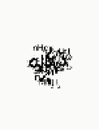 CCCCCC[C@@H](OC[C@@H](CC)NC(=O)[C@@H](C)[C@H](C)O)[C@@H](C)C(=O)N(C)[C@@H](CC(C)C)C(=O)N[C@H](C(=O)N[C@@H](CN)C(N)=O)C1CCCCC1